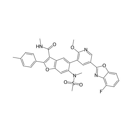 CNC(=O)c1c(-c2ccc(C)cc2)oc2cc(N(C)S(C)(=O)=O)c(-c3cc(-c4nc5c(F)cccc5o4)cnc3OC)cc12